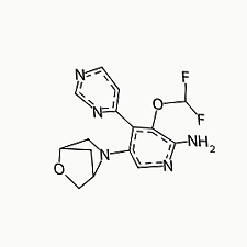 Nc1ncc(N2CC3CC2CO3)c(-c2ccncn2)c1OC(F)F